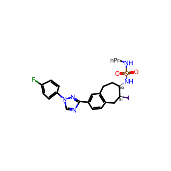 CCCNS(=O)(=O)N[C@H]1CCc2cc(-c3ncn(-c4ccc(F)cc4)n3)ccc2C[C@@H]1I